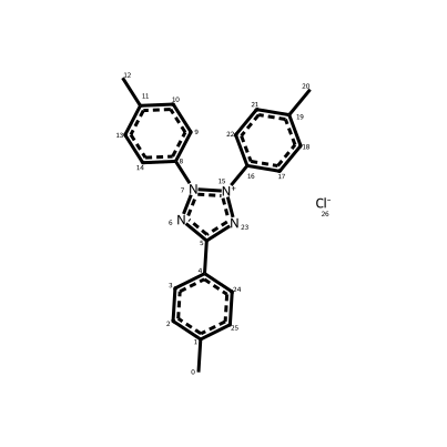 Cc1ccc(-c2nn(-c3ccc(C)cc3)[n+](-c3ccc(C)cc3)n2)cc1.[Cl-]